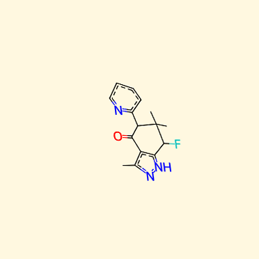 Cc1n[nH]c2c1C(=O)C(c1ccccn1)C(C)(C)C2F